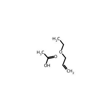 CC(=O)O.[CH2]COCC=C